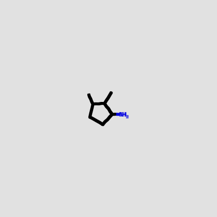 CC1CCC(N)C1C